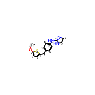 CC(C)Oc1ccc(Cc2ccc(NC3=NCCN3)cc2)s1